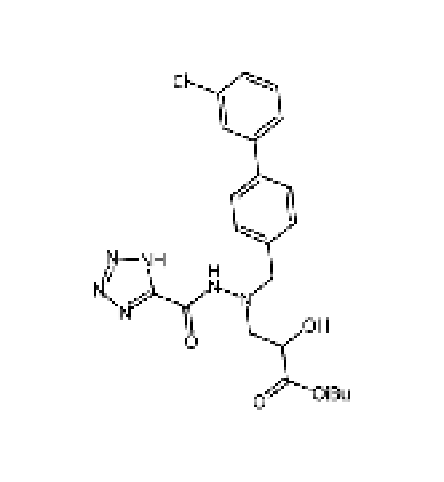 CC(C)COC(=O)C(O)CN(Cc1ccc(-c2cccc(Cl)c2)cc1)NC(=O)c1nnn[nH]1